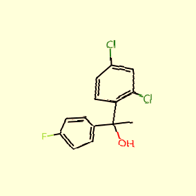 CC(O)(c1ccc(F)cc1)c1ccc(Cl)cc1Cl